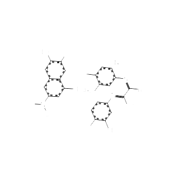 CCCCCCCCC(=Nc1ccc(CCCC)c(CCCC)c1)C(CCCC)=Nc1ccc(CCCC)c(CCCC)c1.CCCCCc1cc(N(CC)CC)cc2cc(O)c(O)cc12.[Ni]